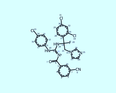 N#Cc1cccc(C(=O)/N=C(\Nc2ccc(Cl)cc2)NC(F)(Cn2ccnc2)c2ccc(Cl)cc2Cl)c1